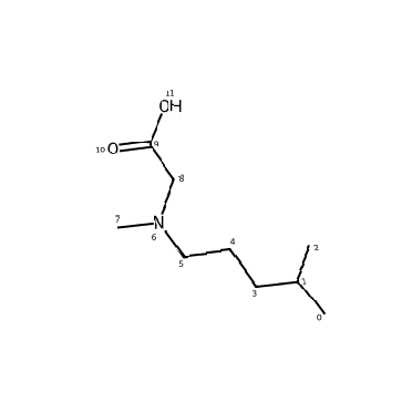 CC(C)CCCN(C)CC(=O)O